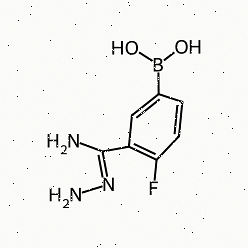 N/N=C(\N)c1cc(B(O)O)ccc1F